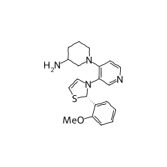 COc1ccccc1[C@@H]1SC=CN1c1cnccc1N1CCCC(N)C1